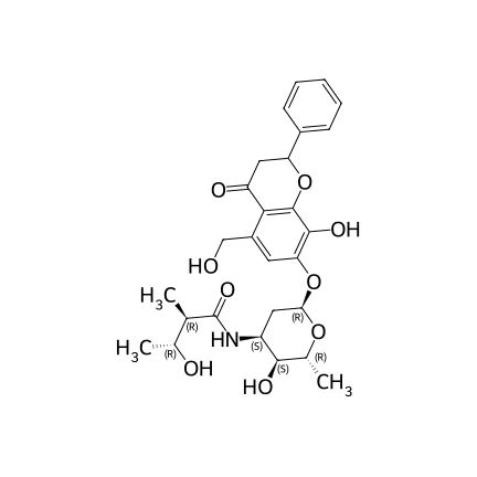 C[C@@H](O)[C@@H](C)C(=O)N[C@H]1C[C@@H](Oc2cc(CO)c3c(c2O)OC(c2ccccc2)CC3=O)O[C@H](C)[C@H]1O